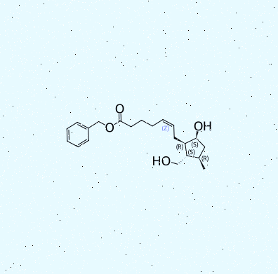 C[C@@H]1C[C@H](O)[C@H](C/C=C\CCCC(=O)OCc2ccccc2)[C@H]1CO